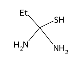 CCC(N)(N)S